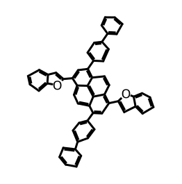 c1ccc(-c2ccc(-c3cc(-c4cc5ccccc5o4)c4ccc5c(-c6ccc(-c7ccccc7)cc6)cc(-c6cc7ccccc7o6)c6ccc3c4c56)cc2)cc1